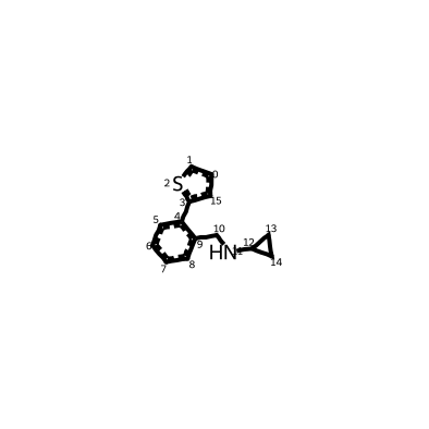 c1csc(-c2ccccc2CNC2CC2)c1